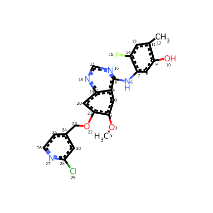 COc1cc2c(Nc3cc(O)c(C)cc3F)ncnc2cc1OCc1ccnc(Cl)c1